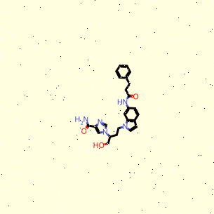 NC(=O)c1cn(C(CO)CCn2ccc3ccc(NC(=O)CCc4ccccc4)cc32)cn1